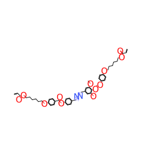 C=CC(=O)OCCCCCCOc1ccc(OCOc2c(OC)cc(/C=N/N=C/c3ccc(OC(=O)c4ccc(OCCCCCCOC(=O)C=C)cc4)cc3)cc2OC)cc1